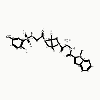 Cn1c(C(=O)N[C@H](C(=O)N2C[C@H]3N(C(=O)CNS(=O)(=O)c4cc(Cl)ccc4Cl)CC32C)C(C)(C)C)cc2ccccc21